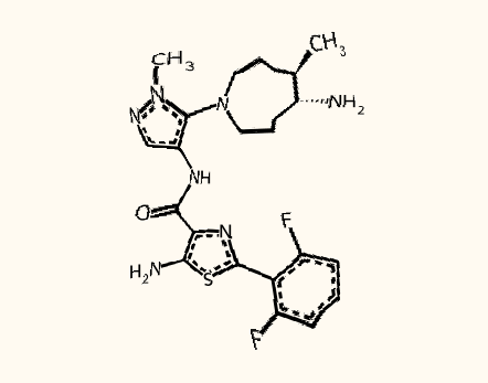 C[C@@H]1CCN(c2c(NC(=O)c3nc(-c4c(F)cccc4F)sc3N)cnn2C)CC[C@H]1N